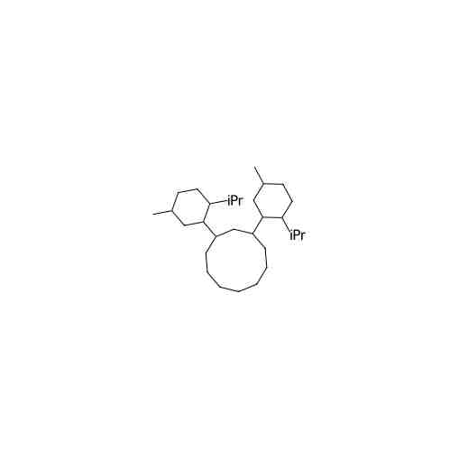 CC1CCC(C(C)C)C(C2CCCCCCCC(C3CC(C)CCC3C(C)C)C2)C1